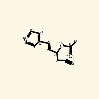 C#CCC(C=Cc1ccncc1)OC(C)=O